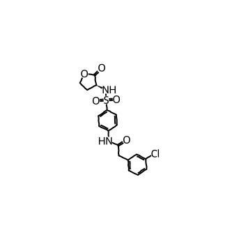 O=C(Cc1cccc(Cl)c1)Nc1ccc(S(=O)(=O)N[C@H]2CCOC2=O)cc1